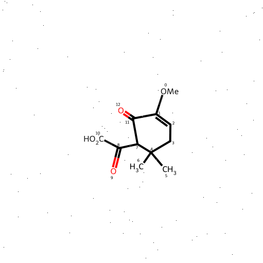 COC1=CCC(C)(C)C(C(=O)C(=O)O)C1=O